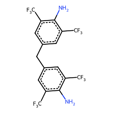 Nc1c(C(F)(F)F)cc(Cc2cc(C(F)(F)F)c(N)c(C(F)(F)F)c2)cc1C(F)(F)F